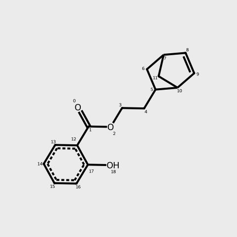 O=C(OCCC1CC2C=CC1C2)c1ccccc1O